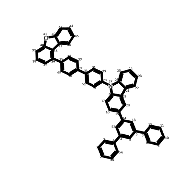 c1ccc(-c2cc(-c3ccccc3)cc(-c3ccc4c(c3)c3ccccc3n4-c3ccc(-c4ccc(-c5cccc6oc7ccccc7c56)cc4)cc3)c2)cc1